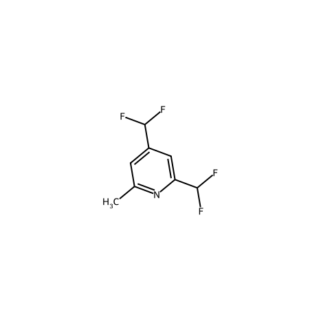 Cc1cc(C(F)F)cc(C(F)F)n1